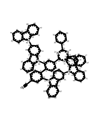 N#Cc1ccc(-c2ccc(-c3nc(-c4ccccc4)nc(-c4ccccc4)n3)cc2-n2c3ccccc3c3cc(-n4c5ccccc5c5ccccc54)ccc32)c(-n2c3ccccc3c3cc(-n4c5ccccc5c5ccccc54)ccc32)c1